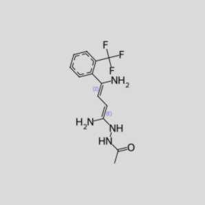 CC(=O)NN/C(N)=C/C=C(\N)c1ccccc1C(F)(F)F